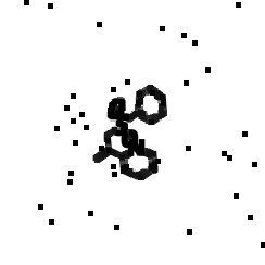 C=C(CS(=O)(=O)c1ccccc1)c1ccccn1